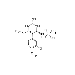 CCc1[nH]c(=N)[nH]c(=N)c1-c1ccc(Cl)c(Cl)c1.Cl.O=P(O)(O)O.[H+]